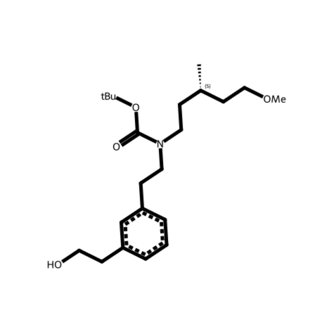 COCC[C@@H](C)CCN(CCc1cccc(CCO)c1)C(=O)OC(C)(C)C